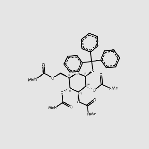 CNC(=O)OC[C@H]1O[C@@H](SC(c2ccccc2)(c2ccccc2)c2ccccc2)[C@H](OC(=O)NC)[C@@H](OC(=O)NC)[C@@H]1OC(=O)NC